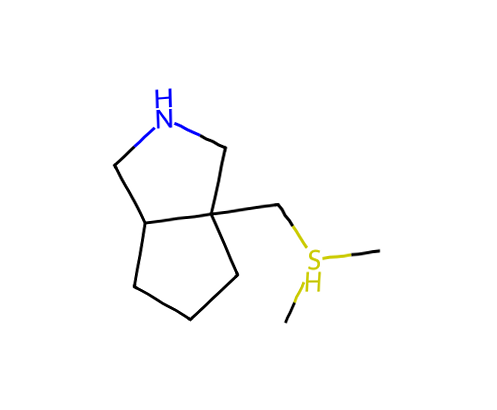 C[SH](C)CC12CCCC1CNC2